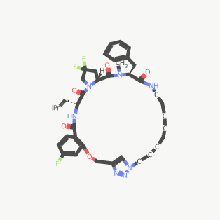 CC(C)C[C@H]1NC(=O)c2ccc(F)cc2OCc2cn(nn2)CCCCCCCCNC(=O)[C@H](Cc2ccccc2)N(C)C(=O)[C@H]2CC(F)(F)CN2C1=O